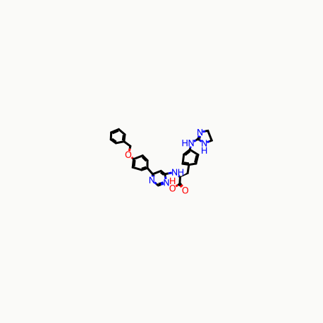 O=C(O)[C@H](Cc1ccc(NC2=NCCN2)cc1)Nc1cc(-c2ccc(OCc3ccccc3)cc2)ncn1